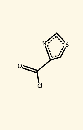 O=C(Cl)c1cscn1